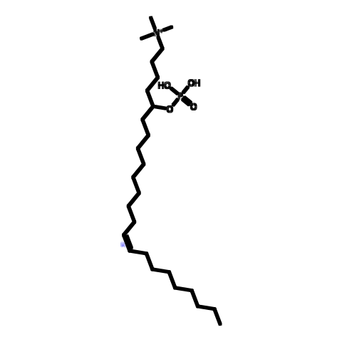 CCCCCCCC/C=C\CCCCCCCCC(CCCC[N+](C)(C)C)OP(=O)(O)O